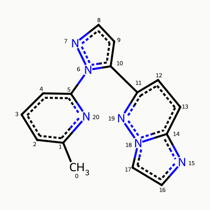 Cc1cccc(-n2nccc2-c2ccc3nccn3n2)n1